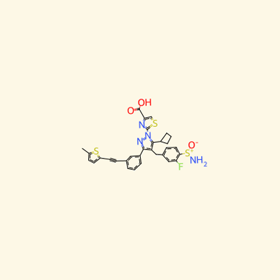 Cc1ccc(C#Cc2cccc(-c3nn(-c4nc(C(=O)O)cs4)c(C4CCC4)c3Cc3ccc([S+](N)[O-])c(F)c3)c2)s1